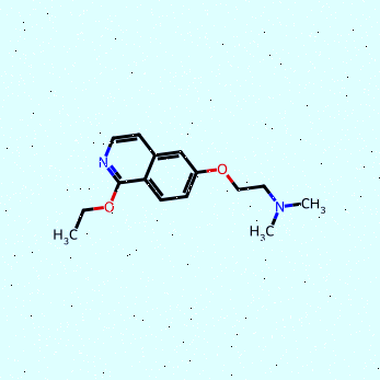 CCOc1nccc2cc(OCCN(C)C)ccc12